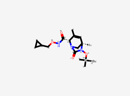 CC1=C[C@@H]2CN(C(=O)N2O[Si](C)(C)C(C)(C)C)[C@@H]1C(=O)NOCC1CC1